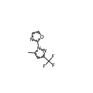 Cc1cc(C(F)(F)F)nn1-c1nc[c]o1